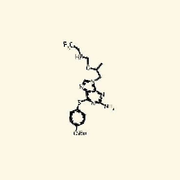 CC(C)COc1ccc(Sc2nc(N)nc3c2ncn3CC(C)OCPCC(F)(F)F)cc1